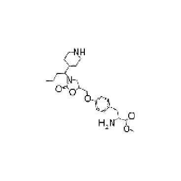 CCCC(C1CCNCC1)N1CC(COc2ccc(CC(N)C(=O)OC)cc2)OC1=O